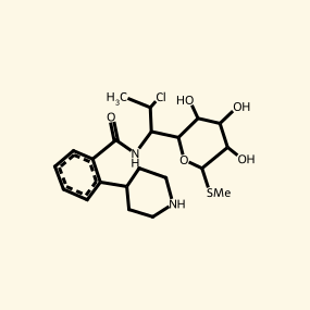 CSC1OC(C(NC(=O)c2ccccc2C2CCNCC2)C(C)Cl)C(O)C(O)C1O